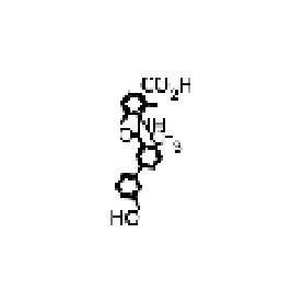 Cc1ccc(C(=O)O)c(C)c1NC(=O)c1cc(-c2cccc(CO)c2)ccc1C(F)(F)F